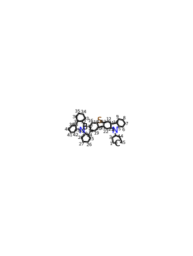 c1ccc(-n2c3ccccc3c3cc4sc5cc6c(cc5c4cc32)-c2ccccc2N2B6c3ccccc3-c3ccccc32)cc1